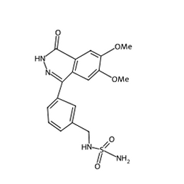 COc1cc2c(-c3cccc(CNS(N)(=O)=O)c3)n[nH]c(=O)c2cc1OC